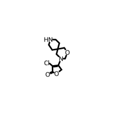 O=C1OCC(N2COCC3(CCNCC3)C2)=C1Cl